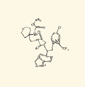 CC(C)(C)OC(=O)NC1(CN2C(=O)SC(=C(Cc3ccc(Cl)cc3C(F)(F)F)c3ccc4[nH]ncc4c3)C2=O)CCOCC1